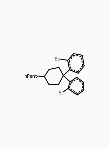 CCCCCC1CCC(c2ccccc2CC)(c2ccccc2CC)CC1